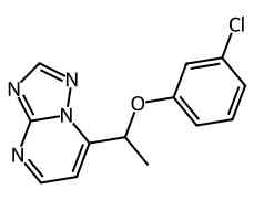 CC(Oc1cccc(Cl)c1)c1ccnc2ncnn12